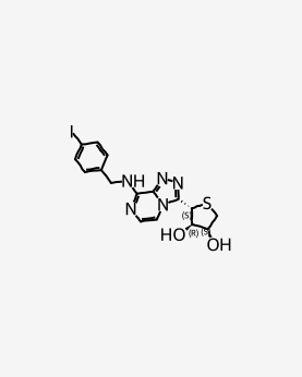 O[C@@H]1[C@H](O)CS[C@H]1c1nnc2c(NCc3ccc(I)cc3)nccn12